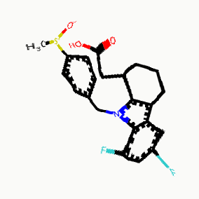 C[S+]([O-])c1ccc(Cn2c3c(c4cc(F)cc(F)c42)CCCC3CC(=O)O)cc1